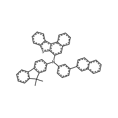 CC1(C)c2ccccc2-c2ccc(N(c3cccc(-c4ccc5ccccc5c4)c3)c3cc4ccccc4c4c3sc3ccccc34)cc21